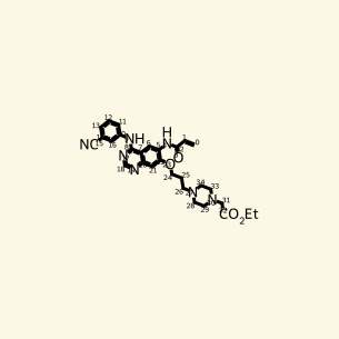 C=CC(=O)Nc1cc2c(Nc3cccc(C#N)c3)ncnc2cc1OCCCN1CCN(CC(=O)OCC)CC1